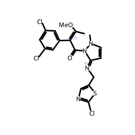 CO/C(C)=C(/C(=O)n1/c(=N/Cc2cnc(Cl)s2)ccn1C)c1cc(Cl)cc(Cl)c1